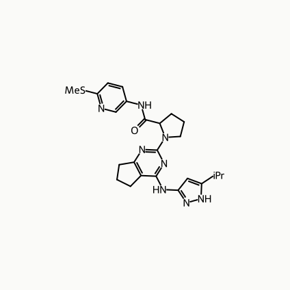 CSc1ccc(NC(=O)C2CCCN2c2nc3c(c(Nc4cc(C(C)C)[nH]n4)n2)CCC3)cn1